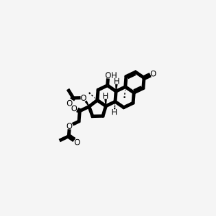 CC(=O)OCC(=O)[C@@]1(OC(C)=O)CC[C@H]2[C@@H]3CCC4=CC(=O)C=C[C@]4(C)[C@H]3C(O)C[C@@]21C